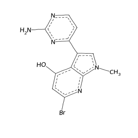 Cn1cc(-c2ccnc(N)n2)c2c(O)cc(Br)nc21